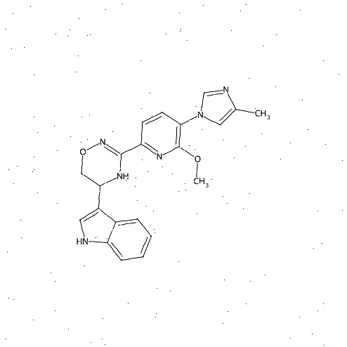 COc1nc(C2=NOCC(c3c[nH]c4ccccc34)N2)ccc1-n1cnc(C)c1